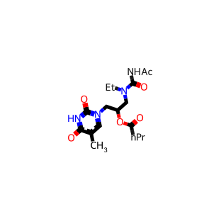 CCCC(=O)OC(CN(CC)C(=O)NC(C)=O)Cn1cc(C)c(=O)[nH]c1=O